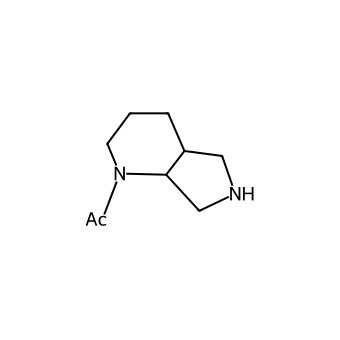 CC(=O)N1CCCC2CNCC21